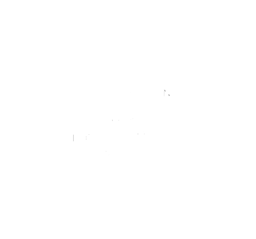 CC(C)OC(=O)C1CCCn2cccc21